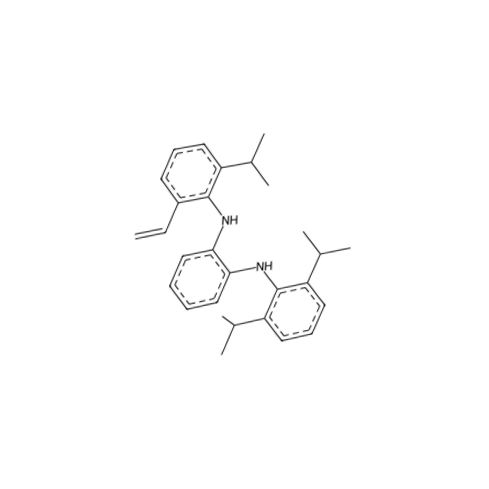 C=Cc1cccc(C(C)C)c1Nc1ccccc1Nc1c(C(C)C)cccc1C(C)C